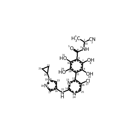 C[C@@H](C#N)NC(=O)c1c(O)c(O)c(-c2nc(Nc3cnn(C4CC4)c3)ncc2Cl)c(O)c1O